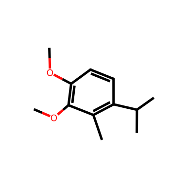 COc1ccc(C(C)C)c(C)c1OC